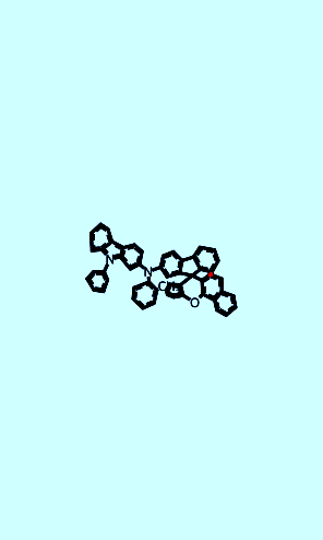 Cc1ccccc1N(c1ccc2c(c1)C1(c3ccccc3Oc3c1ccc1ccccc31)c1ccccc1-2)c1ccc2c3ccccc3n(-c3ccccc3)c2c1